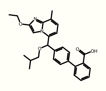 CCOc1cn2c(C(OCC(C)C)c3ccc(-c4ccccc4C(=O)O)cc3)ccc(C)c2n1